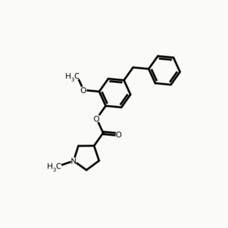 COc1cc(Cc2ccccc2)ccc1OC(=O)C1CCN(C)C1